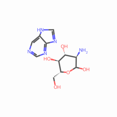 N[C@H]1C(O)O[C@H](CO)[C@@H](O)[C@@H]1O.c1ncc2[nH]cnc2n1